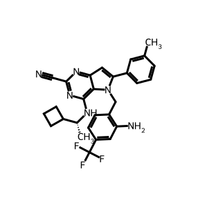 Cc1cccc(-c2cc3nc(C#N)nc(N[C@H](C)C4CCC4)c3n2Cc2ccc(C(F)(F)F)cc2N)c1